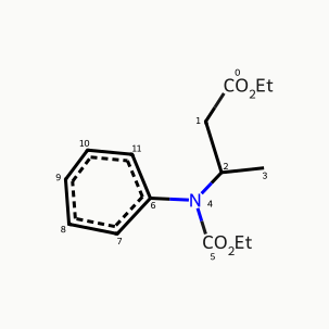 CCOC(=O)CC(C)N(C(=O)OCC)c1ccccc1